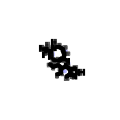 C/C=C(CCC)/C(=N\C1=CC/N=C(/C(F)(F)F)NC/C=C\1)c1c[nH]nc1C